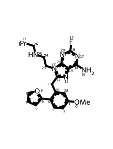 COc1ccc(-c2ccco2)c(Cc2nc3c(N)nc(F)nc3n2CCNCC(C)C)c1